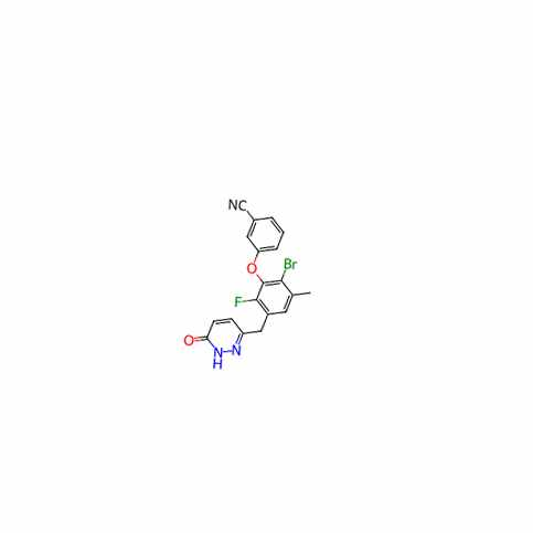 Cc1cc(Cc2ccc(=O)[nH]n2)c(F)c(Oc2cccc(C#N)c2)c1Br